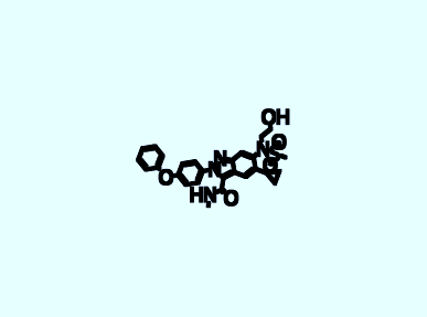 CNC(=O)c1c2cc(C3CC3)c(N(CCO)S(C)(=O)=O)cc2nn1-c1ccc(Oc2ccccc2)cc1